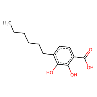 CCCCCCc1ccc(C(=O)O)c(O)c1O